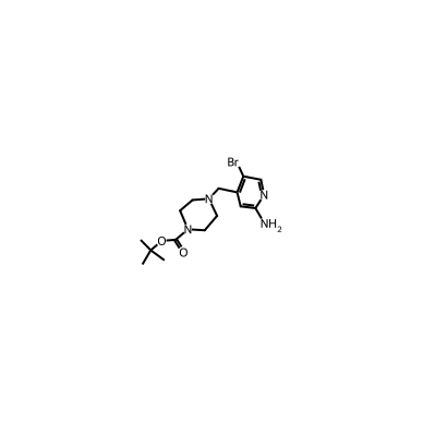 CC(C)(C)OC(=O)N1CCN(Cc2cc(N)ncc2Br)CC1